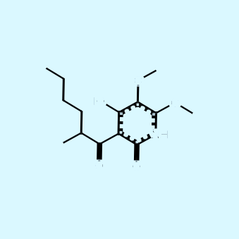 CCCCC(C)C(=O)c1c(O)c(OC)c(OC)[nH]c1=O